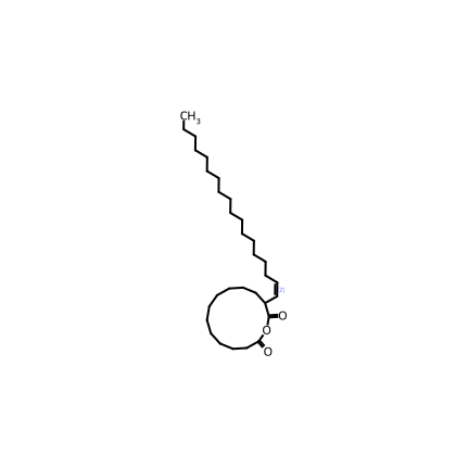 CCCCCCCCCCCCCCCC/C=C\C1CCCCCCCCCCC(=O)OC1=O